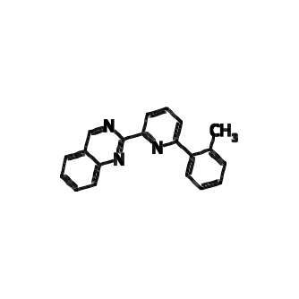 Cc1ccccc1-c1cccc(-c2ncc3ccccc3n2)n1